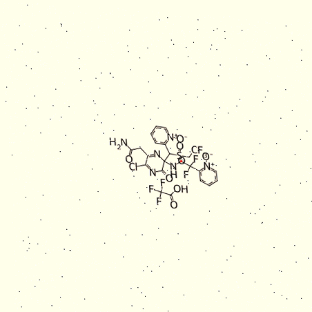 NC(=O)CC1=NC(NCC(F)(F)c2cccc[n+]2[O-])(C(c2cccc[n+]2[O-])S(=O)(=O)CC(F)(F)F)C(=O)N=C1Cl.O=C(O)C(F)(F)F